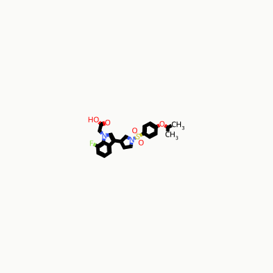 CC(C)Oc1ccc(S(=O)(=O)N2CCC(c3cn(CC(=O)O)c4c(F)cccc34)C2)cc1